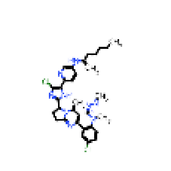 C=N/N=C\N(C)c1ccc(Cl)cc1C1=CC(=C)N2C(=N1)CCC2c1nc(Cl)c(-c2ccc(NC(=C)CCCCC)cn2)[nH]1